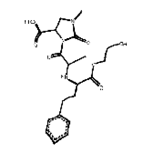 CC(NC(CCc1ccccc1)C(=O)OCCO)C(=O)N1C(=O)N(C)CC1C(=O)O